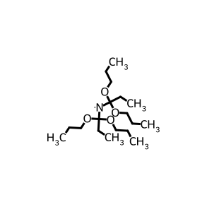 CCCOC(CC)([N]C(CC)(OCCC)OCCC)OCCC